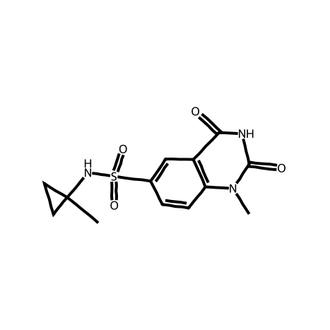 Cn1c(=O)[nH]c(=O)c2cc(S(=O)(=O)NC3(C)CC3)ccc21